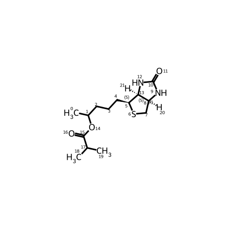 CC(CCC[C@@H]1SC[C@@H]2NC(=O)N[C@@H]21)OC(=O)C(C)C